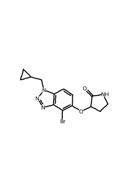 O=C1NCCC1Oc1ccc2c(nnn2CC2CC2)c1Br